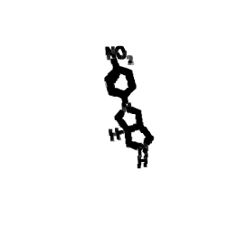 O=[N+]([O-])c1ccc(N2CC3CNC[C@H]3C2)cc1